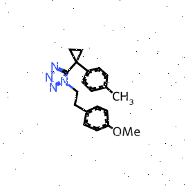 COc1ccc(CCn2nnnc2C2(c3ccc(C)cc3)CC2)cc1